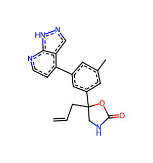 C=CCC1(c2cc(C)cc(-c3ccnc4[nH]ncc34)c2)CNC(=O)O1